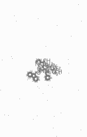 CCOC(CN(C(=O)C(C(NC(=O)OCC1c2ccccc2-c2ccccc21)C(=O)NC(C)c1cccnc1)N(Cc1ccccc1)C(=O)O)C(C)C)OCC